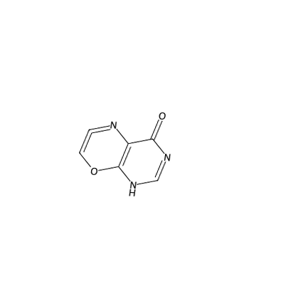 O=c1nc[nH]c2c1N=C=CO2